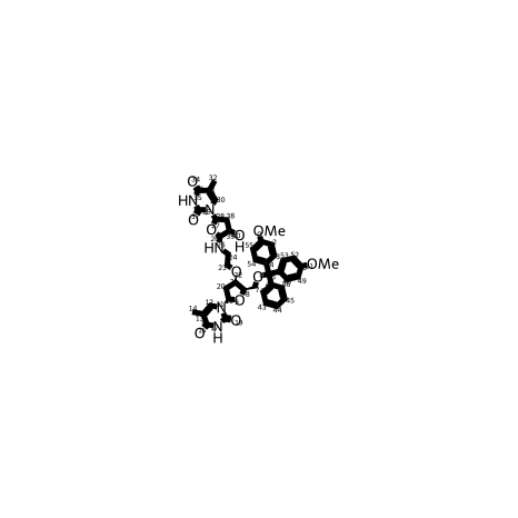 COc1ccc(C(OC[C@H]2O[C@@H](n3cc(C)c(=O)[nH]c3=O)C[C@@H]2OCCNC2OC(n3cc(C)c(=O)[nH]c3=O)CC2O)(c2ccccc2)c2ccc(OC)cc2)cc1